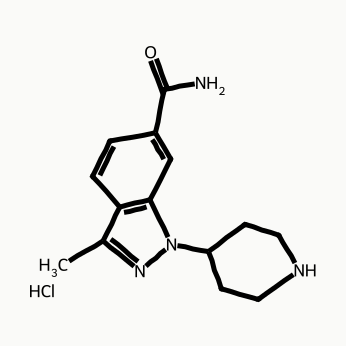 Cc1nn(C2CCNCC2)c2cc(C(N)=O)ccc12.Cl